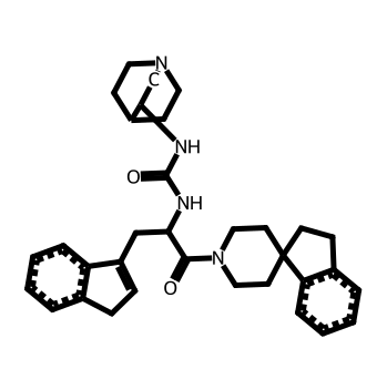 O=C(NC(CC1=CCc2ccccc21)C(=O)N1CCC2(CCc3ccccc32)CC1)NC1CN2CCC1CC2